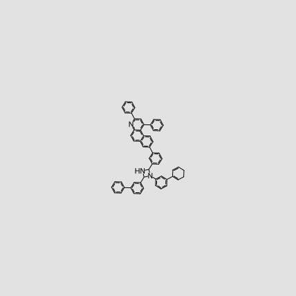 C1=CC(c2cccc(N3C(c4cccc(-c5ccccc5)c4)NC3c3cccc(-c4ccc5c(ccc6nc(-c7ccccc7)cc(-c7ccccc7)c65)c4)c3)c2)=CCC1